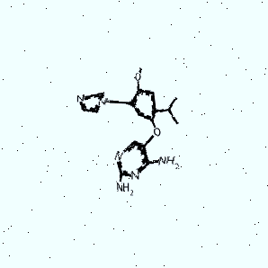 COc1cc(C(C)C)c(Oc2cnc(N)nc2N)cc1-n1ccnc1